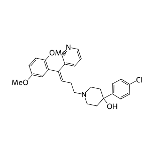 COc1ccc(OC)c(/C(=C/CCN2CCC(O)(c3ccc(Cl)cc3)CC2)c2cccnc2)c1